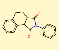 O=C1C2CCc3ccccc3C2C(=O)N1c1ccccc1